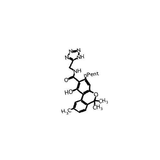 CCCCCc1cc2c(c(O)c1C(=O)NCc1nnn[nH]1)-c1cc(C)ccc1C(C)(C)O2